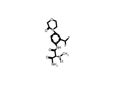 CCN(C)[C@@H](C(N)=O)C(=O)Nc1ccc(N2CCOCC2=O)cc1C(F)F